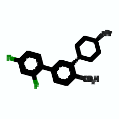 CCC[C@H]1CC[C@H](c2cc(-c3ccc(F)cc3F)ccc2C(=O)O)CC1